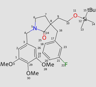 COc1cc(CN2CCC(CCO[Si](C)(C)C(C)(C)C)(Cc3cccc(F)c3)C2=O)cc(OC)c1OC